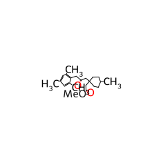 COC(=O)CC1(CC(=O)Cc2c(C)cc(C)cc2C)CCC(C)CC1